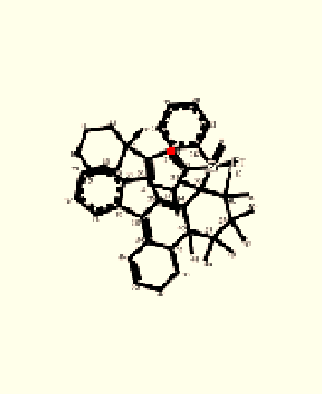 [CH2]=[Zr]([CH2]C)([C]1=CC(C2(C)CCCCC2)=CC1C)([c]1ccccc1)[C]1(C)C2=C3Cc4ccccc4C3=C3C=CCCC3C2(C)C(C)(C)C(C)(C)C1(C)C